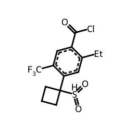 CCc1cc(C2([SH](=O)=O)CCC2)c(C(F)(F)F)cc1C(=O)Cl